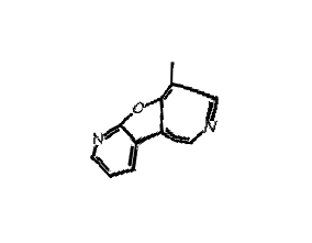 Cc1cncc2c1oc1ncccc12